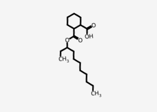 CCCCCCCCC(CC)OC(=O)C1CCCCC1C(=O)O